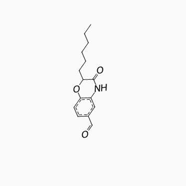 CCCCCCC1Oc2ccc(C=O)cc2NC1=O